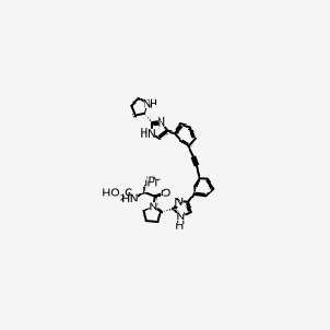 CC(C)[C@H](NC(=O)O)C(=O)N1CCC[C@H]1c1nc(-c2cccc(C#Cc3cccc(-c4c[nH]c([C@@H]5CCCN5)n4)c3)c2)c[nH]1